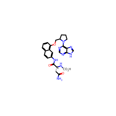 NC(=O)C[C@@H](NC(=O)O)C(=O)Nc1ccc2cccc(OCC3CCCN3c3ncnc4[nH]cnc34)c2c1